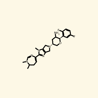 CC1CC=C(c2nc3c(n2C)CN([C@H]2CO[C@H](c4cc(F)ccc4F)C(N)C2)C3)N=CN1C